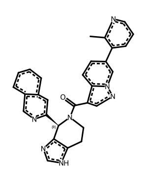 Cc1ncccc1-c1ccc2c(C(=O)N3CCc4[nH]cnc4[C@H]3c3cc4ccccc4cn3)cnn2c1